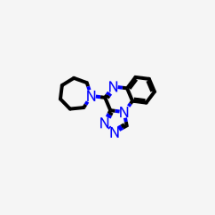 c1ccc2c(c1)nc(N1CCCCCC1)c1nncn12